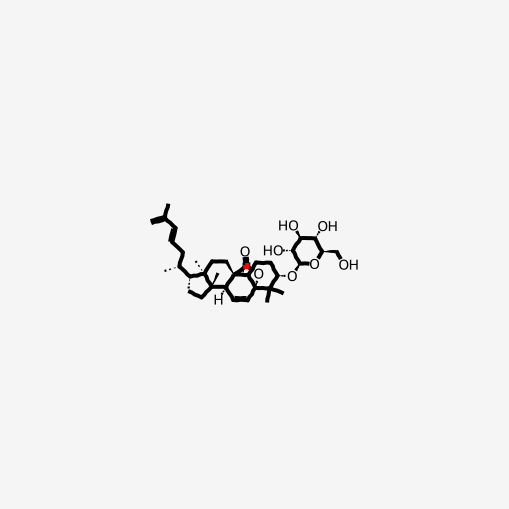 C=C(C)/C=C/C[C@@H](C)[C@H]1CC[C@@]2(C)[C@@H]3C=C[C@@]45OC(=O)[C@]3(CC[C@]12C)[C@@H]4CC[C@H](O[C@@H]1O[C@H](CO)[C@@H](O)[C@H](O)[C@H]1O)C5(C)C